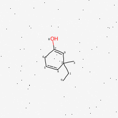 CCC1(C)C=C[CH]C(O)=C1